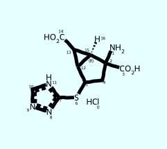 Cl.NC1(C(=O)O)CC(Sc2nnc[nH]2)C2C(C(=O)O)[C@H]21